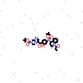 CCC(=O)N1c2ccccc2[C@H](N(C(=O)OC(C)(C)C)c2ccc(C(O)c3cnc4n3CCN(C(=O)OC(C)(C)C)C4)cc2)C[C@H]1C